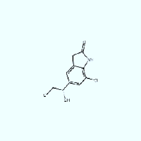 O=C1Cc2cc([C@H](O)CCl)cc(Cl)c2N1